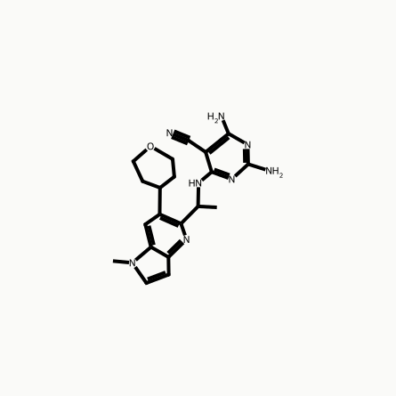 CC(Nc1nc(N)nc(N)c1C#N)c1nc2ccn(C)c2cc1C1CCOCC1